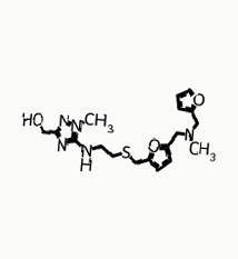 CN(Cc1ccco1)Cc1ccc(CSCCNc2nc(CO)nn2C)o1